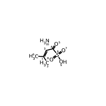 CC(C)=CC(=O)S(=O)(=O)O.N